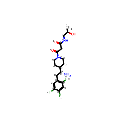 CC(O)CNC(=O)CC(=O)N1CCC([C@H](N)Cc2cc(F)c(F)cc2F)CC1